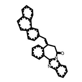 O=C1C/C(=C/c2ccc3ccc4ccccc4c3c2)c2ccccc2-c2nc3ccccc3n21